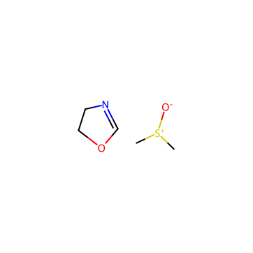 C1=NCCO1.C[S+](C)[O-]